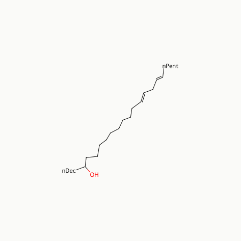 CCCCCC=CCC=CCCCCCCCCCC(O)CCCCCCCCCC